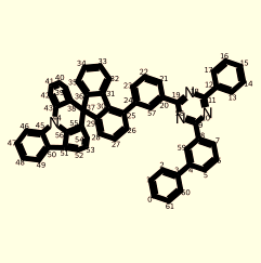 c1ccc(-c2cccc(-c3nc(-c4ccccc4)nc(-c4cccc(-c5cccc6c5-c5ccccc5C65c6ccccc6-n6c7ccccc7c7cccc5c76)c4)n3)c2)cc1